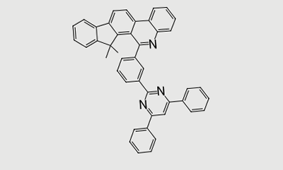 CC1(C)c2ccccc2-c2ccc3c(c(-c4cccc(-c5nc(-c6ccccc6)cc(-c6ccccc6)n5)c4)nc4ccccc43)c21